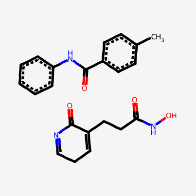 Cc1ccc(C(=O)Nc2ccccc2)cc1.O=C(CCC1=CCC=NC1=O)NO